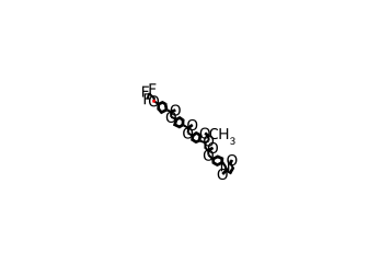 CC(=O)OC(CC(=O)Oc1ccc(N2C(=O)C=CC2=O)cc1)c1ccc(OC(=O)c2ccc(OC(=O)c3ccc(OCC(F)(F)F)cc3)cc2)cc1